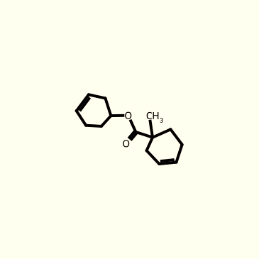 CC1(C(=O)OC2CC=CCC2)CC=CCC1